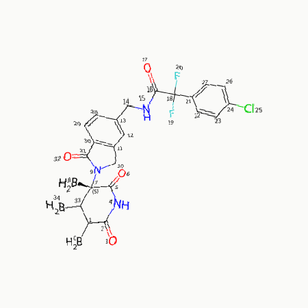 BC1C(=O)NC(=O)[C@@](B)(N2Cc3cc(CNC(=O)C(F)(F)c4ccc(Cl)cc4)ccc3C2=O)C1B